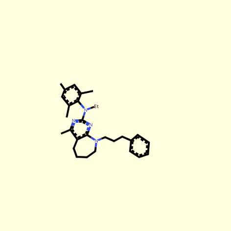 CCN(c1nc(C)c2c(n1)N(CCCc1ccccc1)CCCC2)c1c(C)cc(C)cc1C